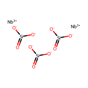 O=[Si]([O-])[O-].O=[Si]([O-])[O-].O=[Si]([O-])[O-].[Nb+3].[Nb+3]